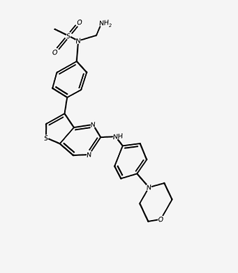 CS(=O)(=O)N(CN)c1ccc(-c2csc3cnc(Nc4ccc(N5CCOCC5)cc4)nc23)cc1